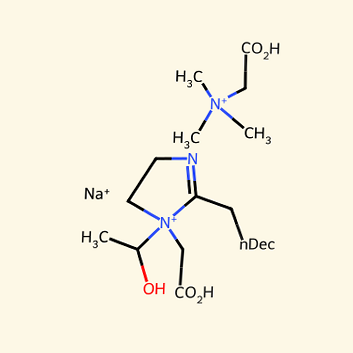 CCCCCCCCCCCC1=NCC[N+]1(CC(=O)O)C(C)O.C[N+](C)(C)CC(=O)O.[Na+]